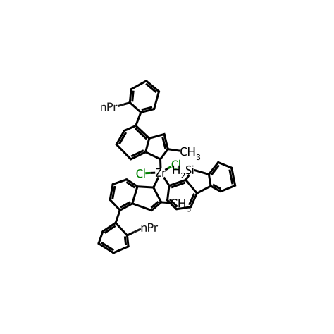 CCCc1ccccc1-c1cccc2c1C=C(C)[CH]2[Zr]([Cl])([Cl])([c]1cccc2c1[SiH2]c1ccccc1-2)[CH]1C(C)=Cc2c(-c3ccccc3CCC)cccc21